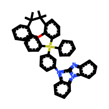 CC1(C)c2ccccc2Oc2c(cccc2S(c2ccccc2)(c2ccccc2)c2cccc(-n3c4ccccc4n4c5ccccc5nc34)c2)C1(C)C